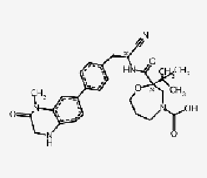 CN1C(=O)CNc2ccc(-c3ccc(C[C@@H](C#N)NC(=O)[C@]4(C(C)(C)C)CN(C(=O)O)CCCO4)cc3)cc21